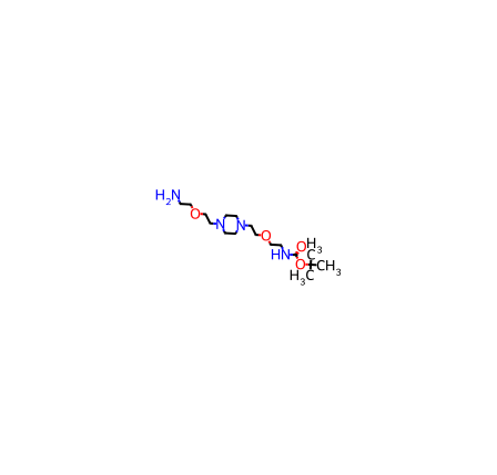 CC(C)(C)OC(=O)NCCOCCN1CCN(CCOCCN)CC1